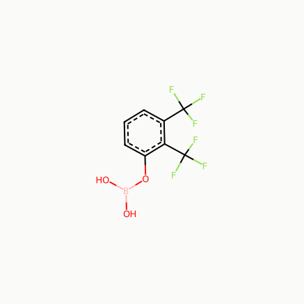 OB(O)Oc1cccc(C(F)(F)F)c1C(F)(F)F